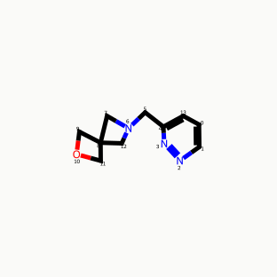 c1cnnc(CN2CC3(COC3)C2)c1